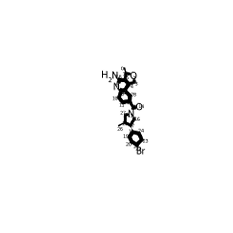 C[C@H]1OCc2c1c(N)nc1ccc(C(=O)N3C[C@H](c4ccc(Br)cc4)[C@@H](C)C3)cc21